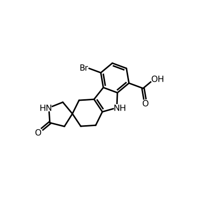 O=C1CC2(CCc3[nH]c4c(C(=O)O)ccc(Br)c4c3C2)CN1